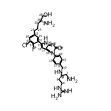 N=C(N)NCC[C@H](CN)NCc1ccc(-n2cc3cc(-c4cc(CCC[C@@H](N)CO)cc(Cl)c4F)[nH]c3nc2=O)cc1